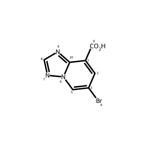 O=C(O)c1cc(Br)cn2ncnc12